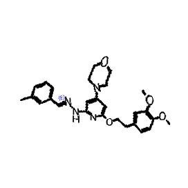 COc1ccc(CCOc2cc(N3CCOCC3)cc(N/N=C/c3cccc(C)c3)n2)cc1OC